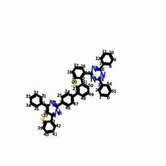 c1ccc(-c2nc(-c3ccccc3)nc(-c3cccc4sc5c(-c6ccc(-c7nc(-c8ccccc8)c8sc9ccccc9c8n7)cc6)cccc5c34)n2)cc1